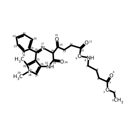 CCOC(=O)CCCNOC(=O)CCC(=O)C1N=C(c2ccccc2)c2c(cn(C)c2C)NC1=O